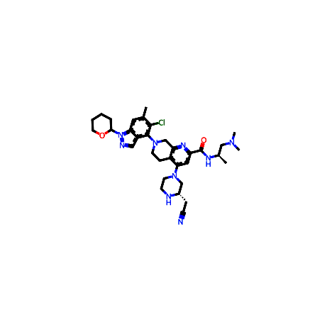 Cc1cc2c(cnn2C2CCCCO2)c(N2CCc3c(N4CCN[C@@H](CC#N)C4)cc(C(=O)N[C@H](C)CN(C)C)nc3C2)c1Cl